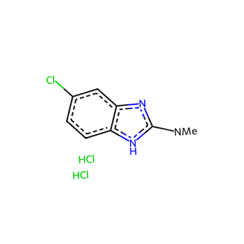 CNc1nc2cc(Cl)ccc2[nH]1.Cl.Cl